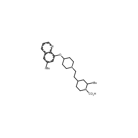 CCCCc1cc(OC2CCN(CCC3CCN(C(=O)O)C(C(C)(C)C)C3)CC2)c2ncccc2c1